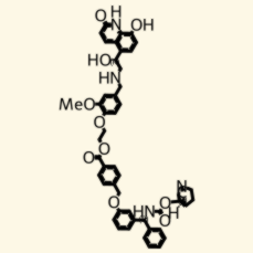 COc1cc(CNC[C@H](O)c2ccc(O)c3[nH]c(=O)ccc23)ccc1OCCOC(=O)c1ccc(COc2cccc([C@@H](NC(=O)O[C@H]3CN4CCC3CC4)c3ccccc3)c2)cc1